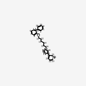 c1ccc(-c2ccccc2OCCCCCCn2cc(-c3cccnc3)nn2)cc1